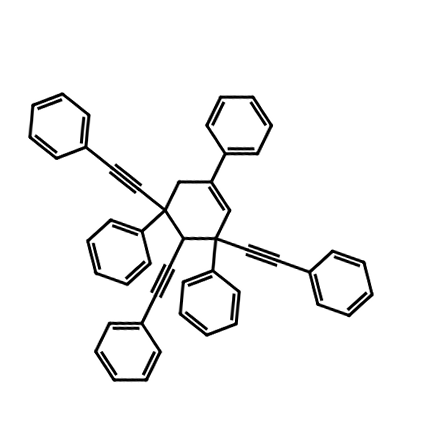 C(#CC1C(C#Cc2ccccc2)(c2ccccc2)C=C(c2ccccc2)CC1(C#Cc1ccccc1)c1ccccc1)c1ccccc1